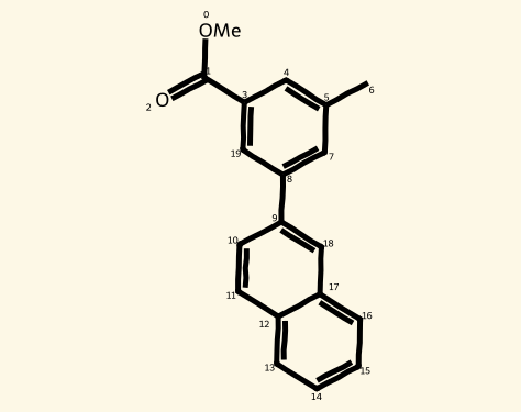 COC(=O)c1cc(C)cc(-c2ccc3ccccc3c2)c1